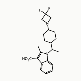 Cc1c(C(=O)O)c2ccccc2n1C(C)C1CCC(N2CC(F)(F)C2)CC1